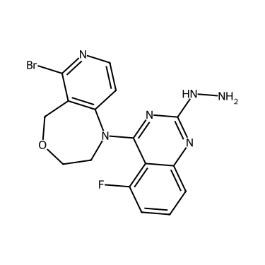 NNc1nc(N2CCOCc3c2ccnc3Br)c2c(F)cccc2n1